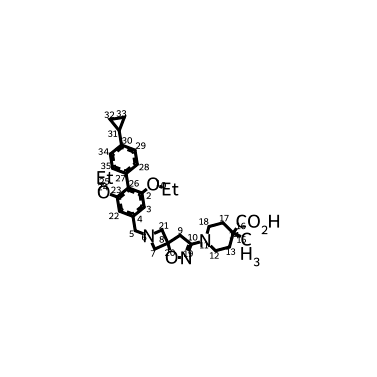 CCOc1cc(CN2CC3(CC(N4CCC(C)(C(=O)O)CC4)=NO3)C2)cc(OCC)c1-c1ccc(C2CC2)cc1